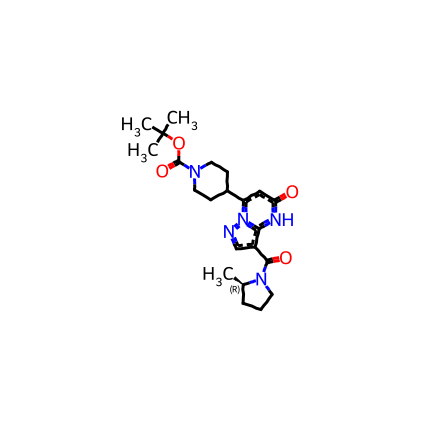 C[C@@H]1CCCN1C(=O)c1cnn2c(C3CCN(C(=O)OC(C)(C)C)CC3)cc(=O)[nH]c12